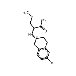 CCCC(N[C@H]1CCc2cc(F)ccc2C1)C(=O)O